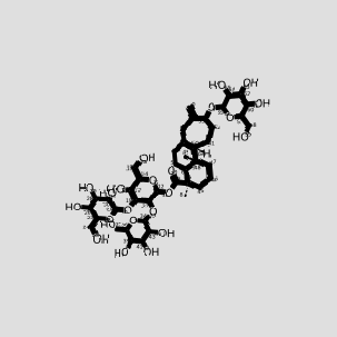 C=C1CC2CCC3[C@](C)(C(=O)OC4OC(CO)C(O)C(OC5OC(CO)C(O)C(O)C5O)C4OC4OC(CO)C(O)C(O)C4O)CCC[C@@]3(C)[C@@H]2CCC1OC1OC(CO)C(O)C(O)C1O